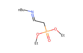 CCCC/N=C/CP(=O)(OCC)OCC